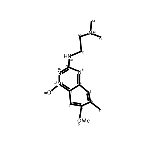 COc1cc2c(cc1C)nc(NCCN(C)C)n[n+]2[O-]